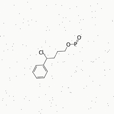 O=POCCCC(Cl)c1ccccc1